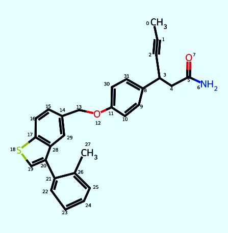 CC#CC(CC(N)=O)c1ccc(OCc2ccc3scc(-c4ccccc4C)c3c2)cc1